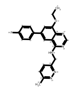 CCOc1cc(-c2ccc(F)cc2)cc2c(NCc3ccc(C)nn3)ncnc12